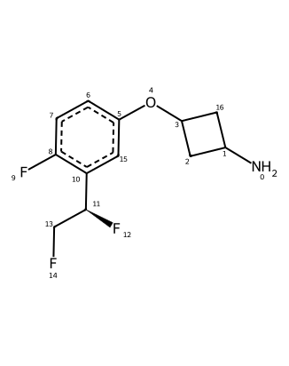 NC1CC(Oc2ccc(F)c([C@@H](F)CF)c2)C1